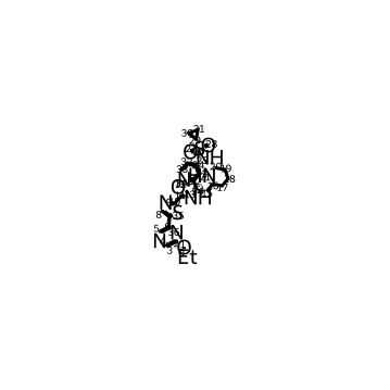 CCOc1cncc(-c2cnc(C(=O)N[C@@H](CC3CCCCN3)c3cc(NS(=O)(=O)C4CC4)ccn3)s2)n1